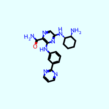 NC(=O)c1ncc(N[C@@H]2CCCC[C@@H]2N)nc1Nc1cccc(-c2ncccn2)c1